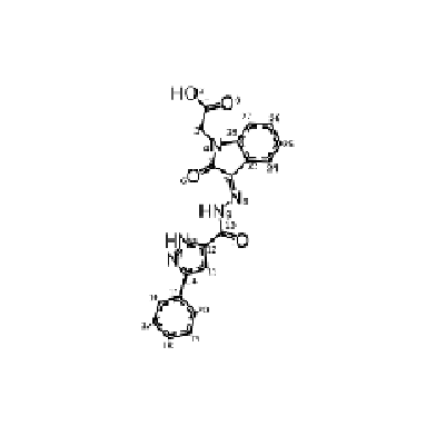 O=C(O)CN1C(=O)C(=NNC(=O)c2cc(-c3ccccc3)n[nH]2)c2ccccc21